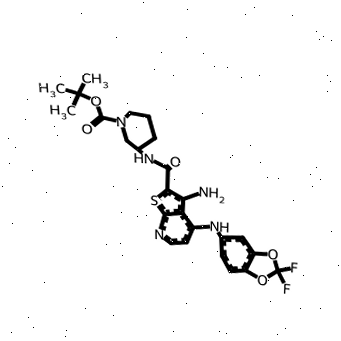 CC(C)(C)OC(=O)N1CCCC(NC(=O)c2sc3nccc(Nc4ccc5c(c4)OC(F)(F)O5)c3c2N)C1